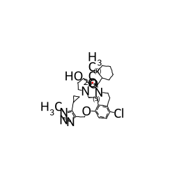 Cn1nnc(COc2ccc(Cl)c3c2[C@@H](CN2CCCC2=O)N(C(=O)C2CCCC[C@@]2(C)C(=O)O)CC3)c1C1CC1